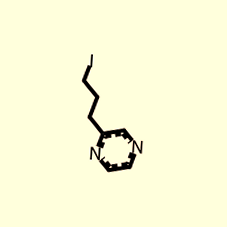 ICCCc1cnccn1